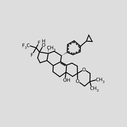 CC1(C)COC2(CCC3=C4C(CCC3(O)C2)C2CCC(O)(C(F)(F)C(F)(F)F)[C@@]2(C)C[C@@H]4c2ccc(C3CC3)cc2)OC1